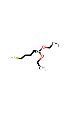 CCO[SiH](CCCCS)OCC